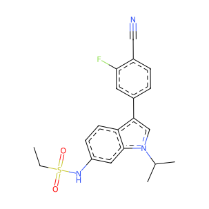 CCS(=O)(=O)Nc1ccc2c(-c3ccc(C#N)c(F)c3)cn(C(C)C)c2c1